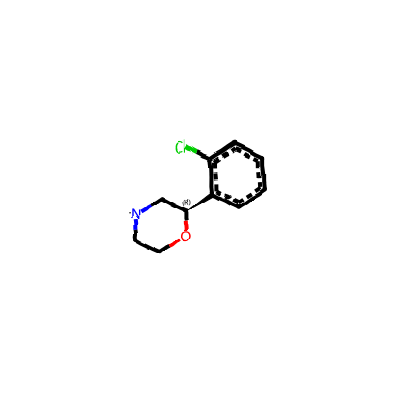 Clc1ccccc1[C@@H]1C[N]CCO1